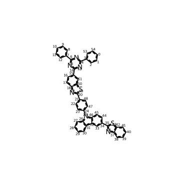 c1ccc(-c2nc(-c3ccccc3)nc(-c3ccc4nc(-c5ccc(-n6c7ccccc7c7cc(-c8nc9ccccc9s8)ccc76)cc5)sc4c3)n2)cc1